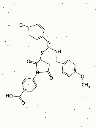 COc1ccc(CN/C(=N/c2ccc(Cl)cc2)SC2CC(=O)N(c3ccc(C(=O)O)cc3)C2=O)cc1